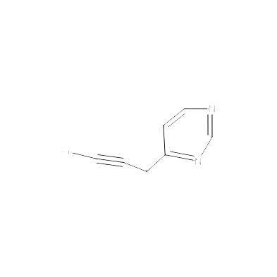 CCC#CCc1ccncn1